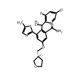 Cc1cnc(-c2cc(OC[C@@H]3CCOC3)cc(C(N)=O)c2C(C)c2ncc(Cl)cc2F)s1